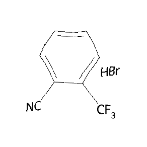 Br.N#Cc1ccccc1C(F)(F)F